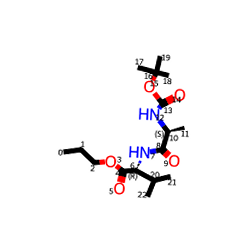 CCCOC(=O)[C@H](NC(=O)[C@H](C)NC(=O)OC(C)(C)C)C(C)C